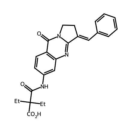 CCC(CC)(C(=O)O)C(=O)Nc1ccc2c(=O)n3c(nc2c1)C(=Cc1ccccc1)CC3